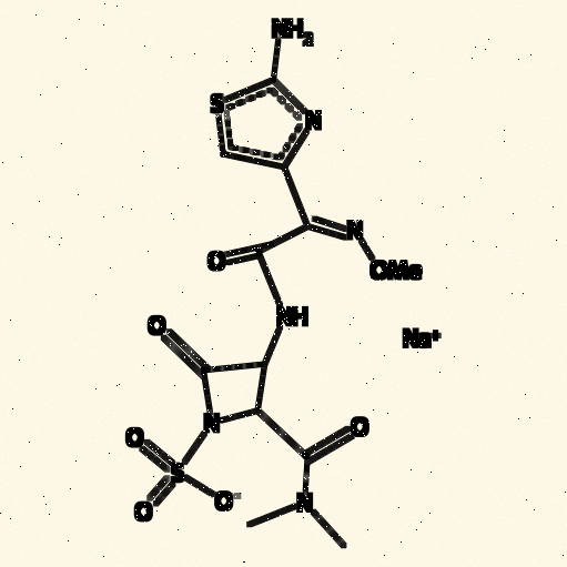 CON=C(C(=O)NC1C(=O)N(S(=O)(=O)[O-])C1C(=O)N(C)C)c1csc(N)n1.[Na+]